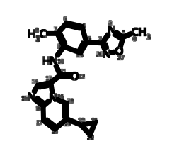 Cc1nc(-c2ccc(C)c(NC(=O)c3cnc4ccc(C5CC5)cn34)c2)no1